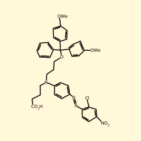 COc1ccc(C(OCCCN(CCCC(=O)O)c2ccc(N=Nc3ccc([N+](=O)[O-])cc3Cl)cc2)(c2ccccc2)c2ccc(OC)cc2)cc1